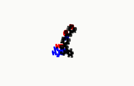 N/C=C1/c2ccccc2C(CC(O)C2CCN(C(=O)CC3CCOCC3)CC2)N1N